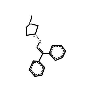 CN1CC[C@@H](ON=C(c2ccccc2)c2ccccc2)C1